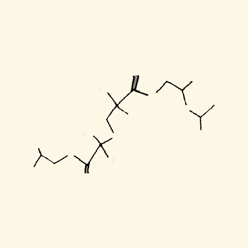 CC(O)COC(=O)C(C)(C)OCC(C)(C)C(=O)OCC(C)OC(C)C